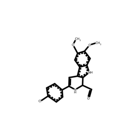 COc1cc2[nH]c3c(c2cc1OC)C=C(c1ccc(Cl)cc1)NC3C=O